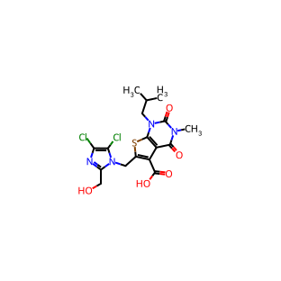 CC(C)Cn1c(=O)n(C)c(=O)c2c(C(=O)O)c(Cn3c(CO)nc(Cl)c3Cl)sc21